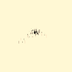 Cl.Cl.Cl.Cl.Cl.[NaH].[NaH].[NaH].[NaH]